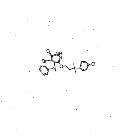 CN(c1cccnc1)c1c(OCCC(C)(C)c2ccc(Cl)cc2)n[nH]c(=O)c1Br